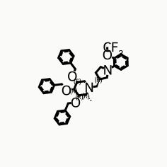 C[C@@H]1[C@@H](OCc2ccccc2)[C@H](OCc2ccccc2)[C@@H](OCc2ccccc2)CN1C[C@H]1CCN(c2ccccc2OC(F)(F)F)C1